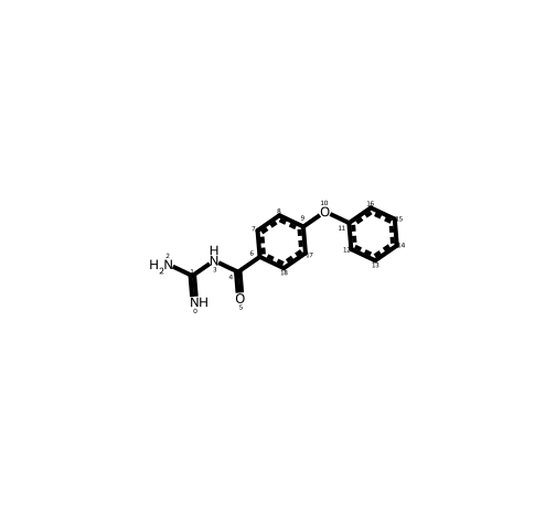 N=C(N)NC(=O)c1ccc(Oc2ccccc2)cc1